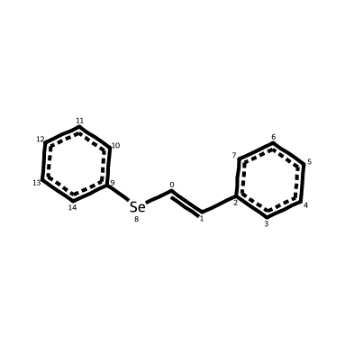 C(=Cc1ccccc1)[Se]c1ccccc1